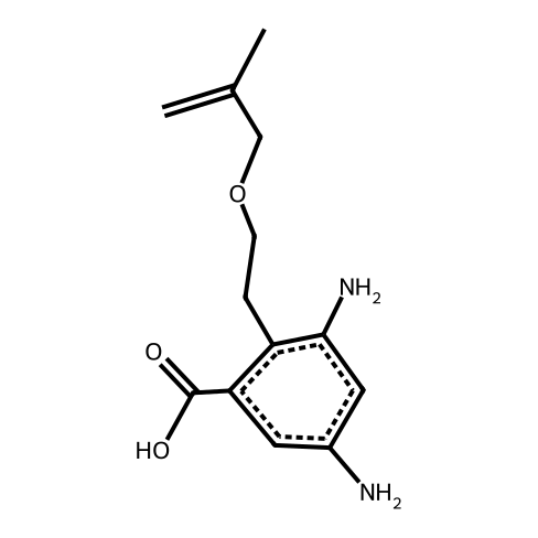 C=C(C)COCCc1c(N)cc(N)cc1C(=O)O